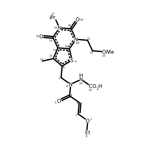 CCO/C=C/C(=O)N(Cc1sc2c(c1C)c(=O)n(C(C)C)c(=O)n2CCOC)NC(=O)O